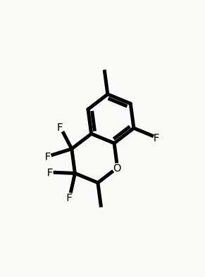 Cc1cc(F)c2c(c1)C(F)(F)C(F)(F)C(C)O2